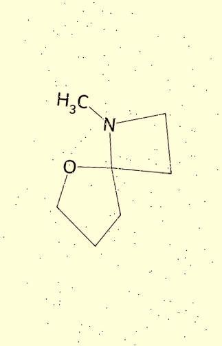 CN1CCC12CCCO2